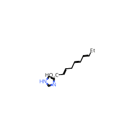 CCC=CC=CCC=CC(=O)O.c1c[nH]cn1